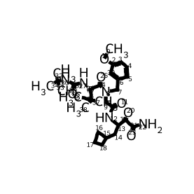 COc1cccc(CN(CC(=O)NC(CC2CCC2)C(=O)C(N)=O)C(=O)[C@@H](NC(=O)NC(C)(C)C)C(C)(C)C)c1